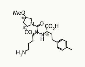 CO[C@@H]1C[C@@H](C(=O)O)N(C(=O)[C@H](CCCCN)N[C@@H](CCc2ccc(C)cc2)C(=O)O)C1